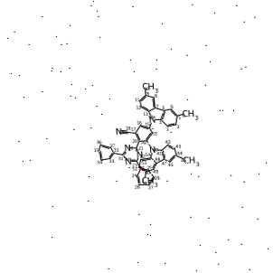 Cc1ccc2c(c1)c1cc(C)ccc1n2-c1cc(C#N)c(-c2nc(-c3ccccc3)nc(-c3ccccc3)n2)c(-n2c3ccc(C)cc3c3cc(C)ccc32)c1